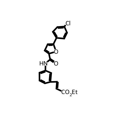 CCOC(=O)C=Cc1cccc(NC(=O)c2ccc(-c3ccc(Cl)cc3)o2)c1